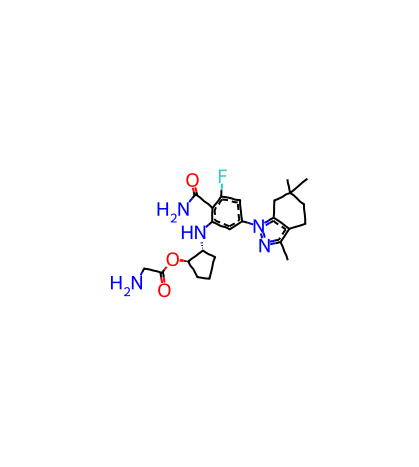 Cc1nn(-c2cc(F)c(C(N)=O)c(N[C@@H]3CCC[C@H]3OC(=O)CN)c2)c2c1CCC(C)(C)C2